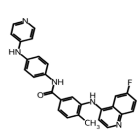 Cc1ccc(C(=O)Nc2ccc(Nc3ccncc3)cc2)cc1Nc1ccnc2ccc(F)cc12